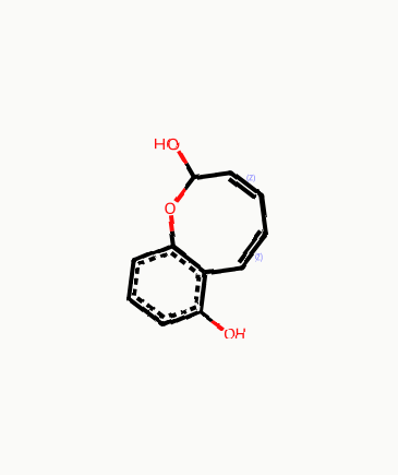 Oc1cccc2c1/C=C\C=C/C(O)O2